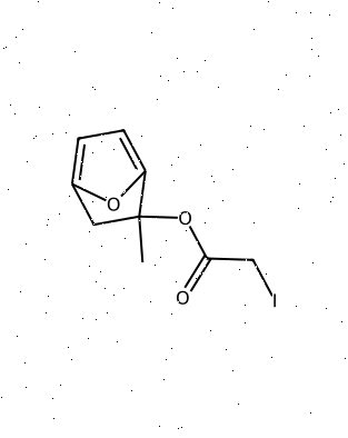 CC1(OC(=O)CI)Cc2ccc1o2